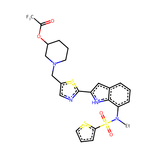 CCN(c1cccc2cc(-c3ncc(CN4CCCC(OC(=O)C(F)(F)F)C4)s3)[nH]c12)S(=O)(=O)c1cccs1